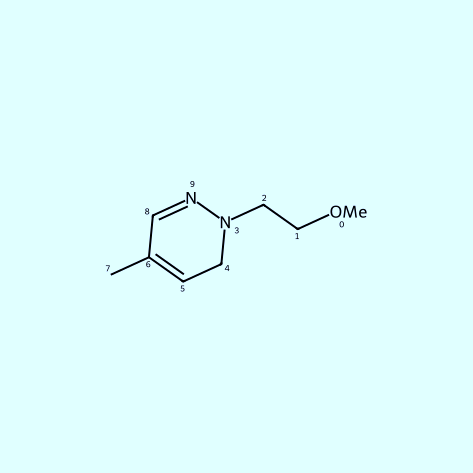 COCCN1CC=C(C)C=N1